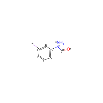 NN(C=O)c1cccc(I)c1